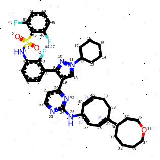 O=S(=O)(Nc1cccc(-c2nn(C3CCCCC3)cc2-c2ccnc(NC3=C/C=C(/C4CCCCOCC4)CC/C=C\3)n2)c1F)c1c(F)cccc1F